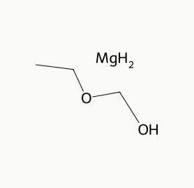 CCOCO.[MgH2]